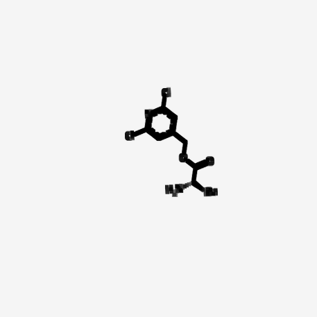 CC[C@H](C)[C@H](N)C(=O)OCc1cc(Cl)nc(Cl)c1